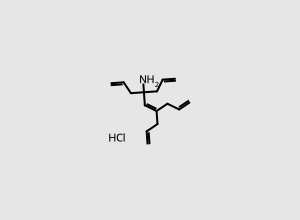 C=CCC(=CC(N)(CC=C)CC=C)CC=C.Cl